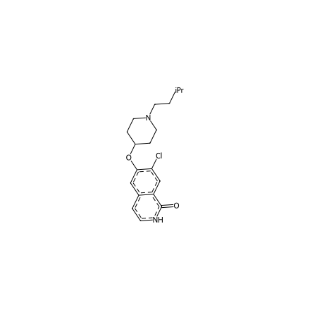 CC(C)CCN1CCC(Oc2cc3cc[nH]c(=O)c3cc2Cl)CC1